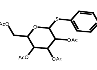 CC(=O)OCC1OC(Sc2ccccc2)C(OC(C)=O)C(OC(C)=O)C1OC(C)=O